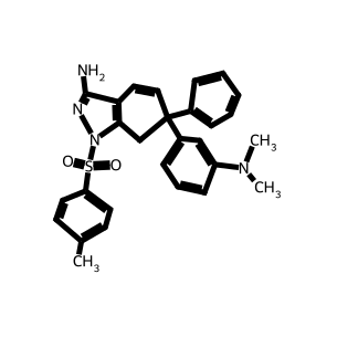 Cc1ccc(S(=O)(=O)n2nc(N)c3c2CC(c2ccccc2)(c2cccc(N(C)C)c2)C=C3)cc1